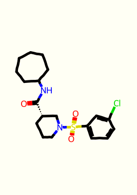 O=C(NC1CCCCCC1)[C@H]1CCCN(S(=O)(=O)c2cccc(Cl)c2)C1